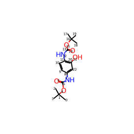 CC(C)(C)OC(=O)Nc1ccc(NC(=O)OC(C)(C)C)c(O)c1